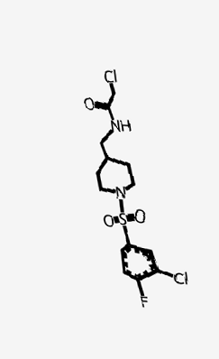 O=C(CCl)NCC1CCN(S(=O)(=O)c2ccc(F)c(Cl)c2)CC1